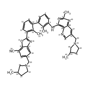 Cc1nc(Nc2cccc(-c3cccc(-c4nc5cc(CN6CCC(C)C6)cc(C#N)c5o4)c3C)c2C)c2ncc(CN3CCC(C)C3)cc2n1